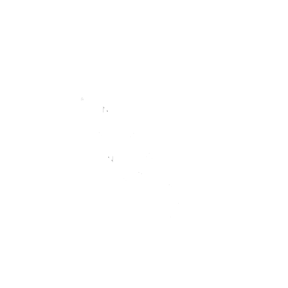 CC(=O)OCC(=O)[C@@H]1CCCN1C(=O)[C@@H]1CC[C@H](C(C)(C)C)N1C(=O)CCCc1ccccc1